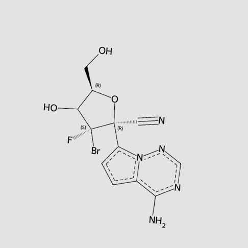 N#C[C@@]1(c2ccc3c(N)ncnn23)O[C@H](CO)C(O)[C@]1(F)Br